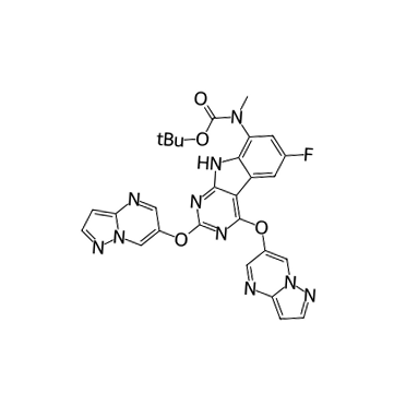 CN(C(=O)OC(C)(C)C)c1cc(F)cc2c1[nH]c1nc(Oc3cnc4ccnn4c3)nc(Oc3cnc4ccnn4c3)c12